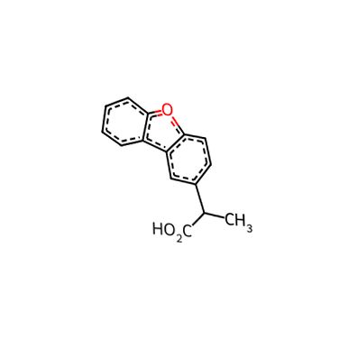 CC(C(=O)O)c1ccc2oc3ccccc3c2c1